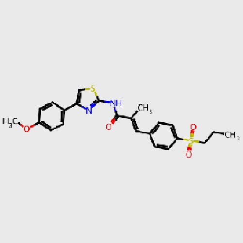 CCCS(=O)(=O)c1ccc(/C=C(\C)C(=O)Nc2nc(-c3ccc(OC)cc3)cs2)cc1